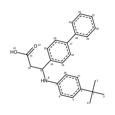 CC(C)(C)c1ccc(NC(CC(=O)O)c2ccc(-c3ccccc3)cc2)cc1